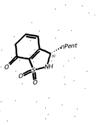 CCCCC[C@@H]1NS(=O)(=O)C2=C1C=CCC2=O